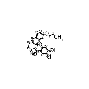 CCCOc1ccc(CN2CCc3noc(-c4cc(Cl)c(O)cc4O)c3C2)cc1